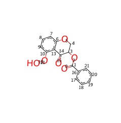 O=C(OC1COc2cccc(OO)c2C1=O)c1ccccc1